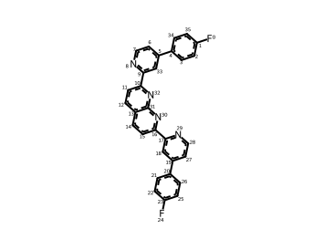 Fc1ccc(-c2ccnc(-c3ccc4ccc(-c5cc(-c6ccc(F)cc6)ccn5)nc4n3)c2)cc1